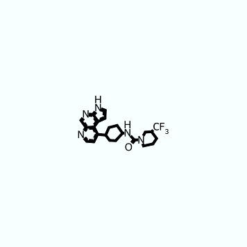 O=C(NC1CCC(c2ccnc3cnc4[nH]ccc4c23)CC1)N1CCCC(C(F)(F)F)C1